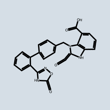 O=C=C1Nc2cccc(C(=O)O)c2N1Cc1ccc(-c2ccccc2-c2noc(=O)[nH]2)cc1